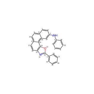 c1ccc(Nc2ccc3ccc4ccc5nc(-c6ccccc6)oc5c4c3c2)cc1